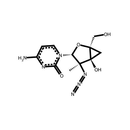 C[C@]1(N=[N+]=[N-])[C@H](n2ccc(N)nc2=O)O[C@@]2(CO)C[C@@]21O